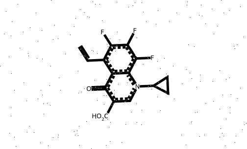 C=Cc1c(F)c(F)c(F)c2c1c(=O)c(C(=O)O)cn2C1CC1